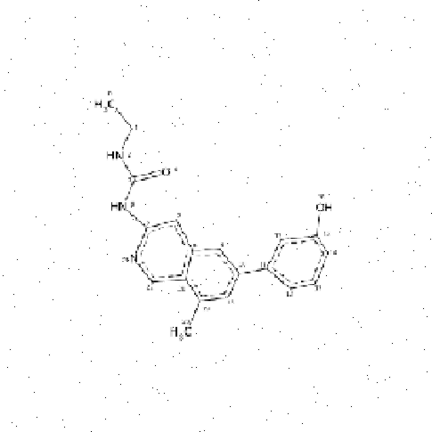 CCNC(=O)Nc1cc2cc(-c3cccc(O)c3)cc(C)c2cn1